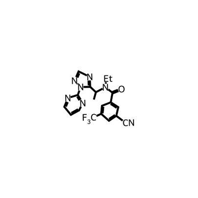 CCN(C(=O)c1cc(C#N)cc(C(F)(F)F)c1)C(C)c1ncnn1-c1ncccn1